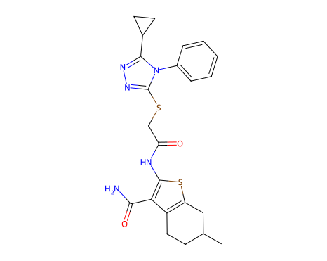 CC1CCc2c(sc(NC(=O)CSc3nnc(C4CC4)n3-c3ccccc3)c2C(N)=O)C1